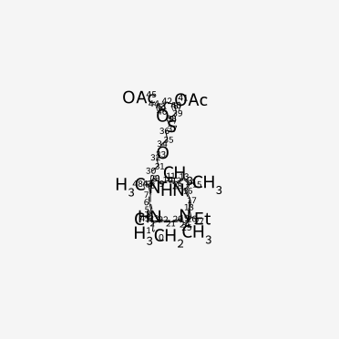 C=Cc1c(C)c2cc3nc(c(C)c4cc(C)c(cc5nc(cc1[nH]2)C(C)=C5CC)[nH]4)[C@@H](CCCOCCCS[C@H]1C[C@@H](OC(C)=O)C[C@@H](COC(C)=O)O1)[C@@H]3C